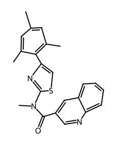 Cc1cc(C)c(-c2csc(N(C)C(=O)c3cnc4ccccc4c3)n2)c(C)c1